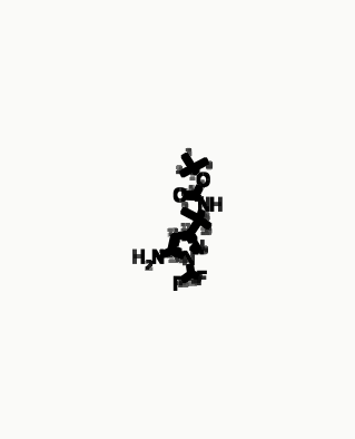 CC(C)(C)OC(=O)NC(C)(C)c1cc(N)n(C(F)F)n1